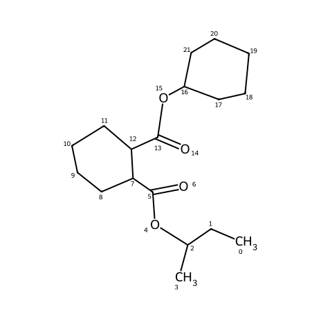 CCC(C)OC(=O)C1CCCCC1C(=O)OC1CCCCC1